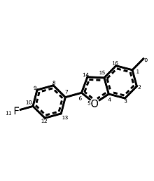 Cc1ccc2oc(-c3ccc(F)cc3)cc2c1